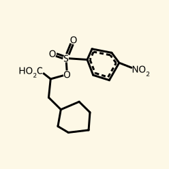 O=C(O)C(CC1CCCCC1)OS(=O)(=O)c1ccc([N+](=O)[O-])cc1